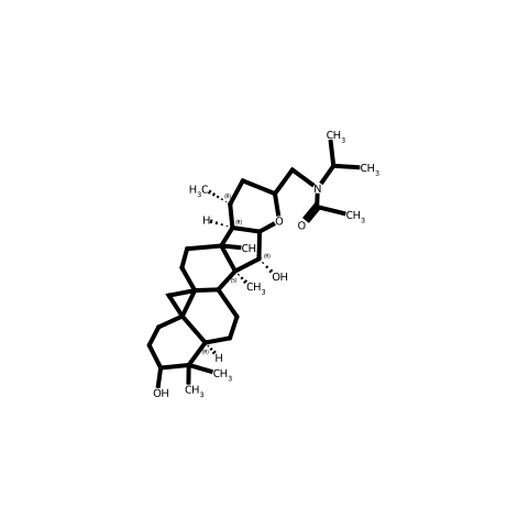 CC(=O)N(CC1C[C@@H](C)[C@H]2C(O1)[C@H](O)[C@@]1(C)C3CC[C@H]4C(C)(C)C(O)CCC45CC35CCC21C)C(C)C